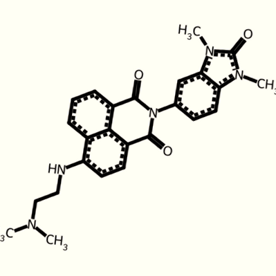 CN(C)CCNc1ccc2c3c(cccc13)C(=O)N(c1ccc3c(c1)n(C)c(=O)n3C)C2=O